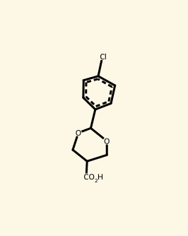 O=C(O)C1COC(c2ccc(Cl)cc2)OC1